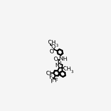 CCOC(=O)c1cccc(NC(=O)N2CC(C)(c3ccccc3)C(c3ccc(C(F)(F)F)c(Cl)c3)=N2)c1